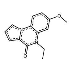 CCn1c(=O)c2cccn2c2ccc(OC)cc21